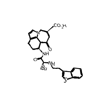 CCC(C)C(NCCc1csc2ccccc12)C(=O)N[C@H]1CCc2ccn3c2C1C(=O)C[C@H](C(=O)O)C3